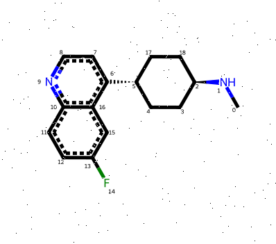 CN[C@H]1CC[C@H](c2ccnc3ccc(F)cc32)CC1